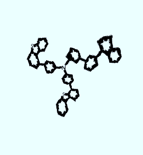 c1cc(-c2cccc(N(c3ccc(-c4cccc5c4sc4ccccc45)cc3)c3ccc(-c4cccc5sc6ccccc6c45)cc3)c2)cc(-c2cccc3ccccc23)c1